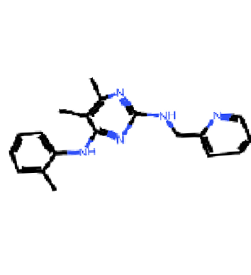 Cc1ccccc1Nc1nc(NCc2ccccn2)nc(C)c1C